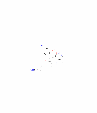 COc1cc(C#N)ccc1[C@@H]1C(C(=O)OCCC#N)=C(C)Nc2c(C)cnc(O)c21